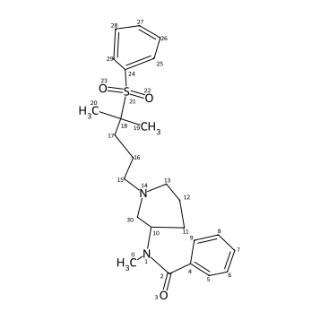 CN(C(=O)c1ccccc1)C1CCCN(CCCC(C)(C)S(=O)(=O)c2ccccc2)C1